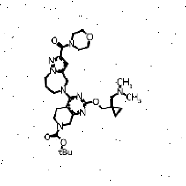 CN(C)CC1(COc2nc3c(c(N4CCCn5nc(C(=O)N6CCOCC6)cc5C4)n2)CCN(C(=O)OC(C)(C)C)C3)CC1